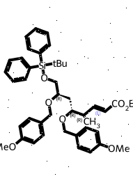 CCOC(=O)/C=C/[C@@H](C)[C@@H](C[C@H](CO[Si](c1ccccc1)(c1ccccc1)C(C)(C)C)OCc1ccc(OC)cc1)OCc1ccc(OC)cc1